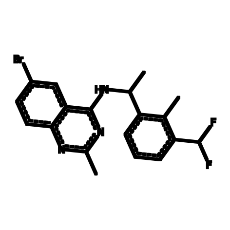 Cc1nc(NC(C)c2cccc(C(F)F)c2C)c2cc(Br)ccc2n1